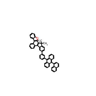 CC1(C)c2ccc(-c3cccc(-c4c5ccccc5c(-c5cccc6ccccc56)c5ccccc45)c3)cc2-c2c1c1oc3ccccc3c1c1ccccc21